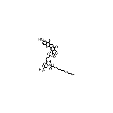 CCCCCCCCCCCCCC(=O)N[C@H](CC(N)=O)C(=O)N[C@@H](C)CCC(=O)O[C@]1(CC)C(=O)OCc2c1cc1n(c2=O)Cc2c-1nc1ccc(O)cc1c2CC